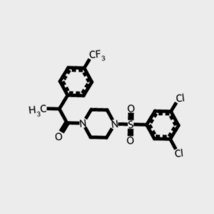 CC(C(=O)N1CCN(S(=O)(=O)c2cc(Cl)cc(Cl)c2)CC1)c1ccc(C(F)(F)F)cc1